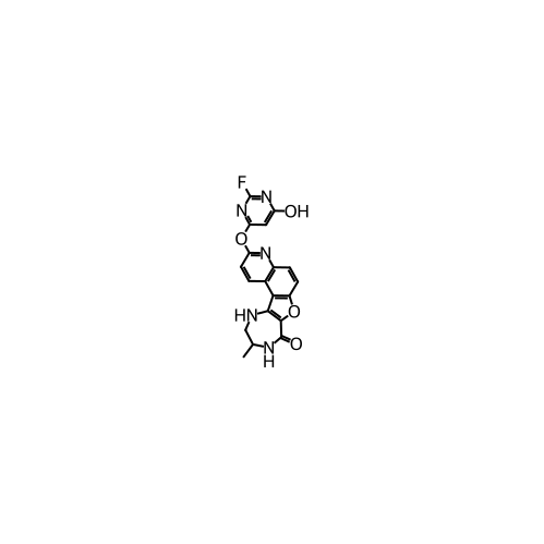 CC1CNc2c(oc3ccc4nc(Oc5cc(O)nc(F)n5)ccc4c23)C(=O)N1